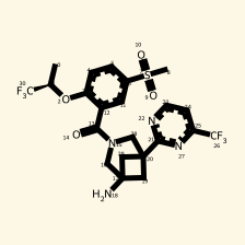 C[C@@H](Oc1ccc(S(C)(=O)=O)cc1C(=O)N1CC2(N)CC(c3nccc(C(F)(F)F)n3)(C1)C2)C(F)(F)F